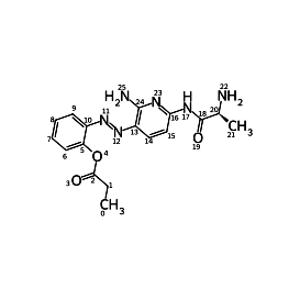 CCC(=O)Oc1ccccc1/N=N/c1ccc(NC(=O)[C@H](C)N)nc1N